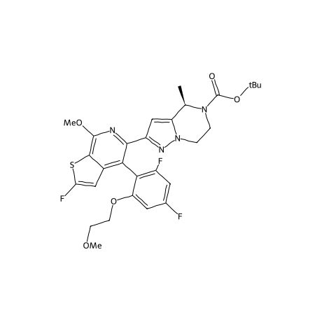 COCCOc1cc(F)cc(F)c1-c1c(-c2cc3n(n2)CCN(C(=O)OC(C)(C)C)[C@@H]3C)nc(OC)c2sc(F)cc12